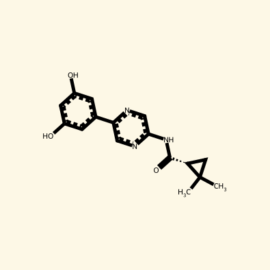 CC1(C)C[C@H]1C(=O)Nc1cnc(-c2cc(O)cc(O)c2)cn1